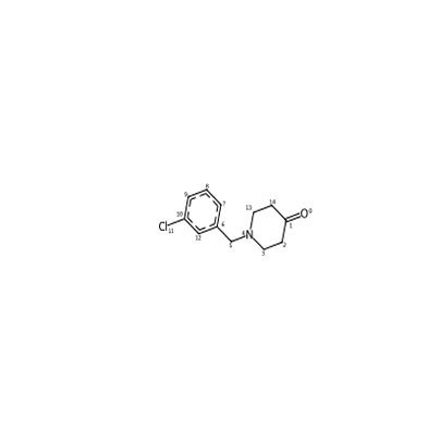 O=C1CCN(Cc2cccc(Cl)c2)CC1